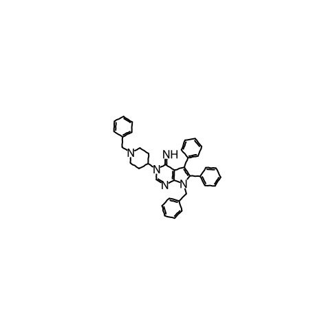 N=c1c2c(-c3ccccc3)c(-c3ccccc3)n(Cc3ccccc3)c2ncn1C1CCN(Cc2ccccc2)CC1